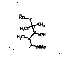 CNCC(C)C(O)C(C)(C)CO